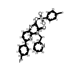 Cc1ccc(S(=O)(=O)Oc2nc3ccc(-c4ccc(F)cc4)nc3n(Cc3ccccn3)c2=O)cc1